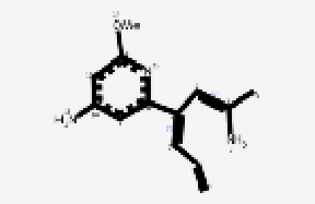 C=C/C=C(\C=C(\C)N)c1cc(N)cc(OC)n1